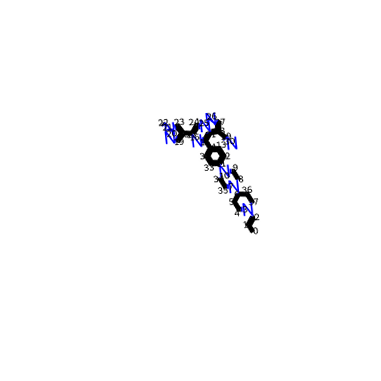 CC=CN1CCC(N2CCN(c3ccc(-c4nc(-c5cnn(C)c5)cn5ncc(C#N)c45)cc3)CC2)CC1